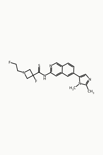 Cc1ncc(-c2ccc3cnc(NC(=S)C4(F)CN(CCF)C4)cc3c2)n1C